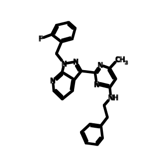 Cc1cc(NCCc2ccccc2)nc(-c2nn(Cc3ccccc3F)c3ncccc23)n1